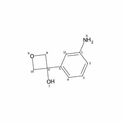 Nc1cccc(C2(O)COC2)c1